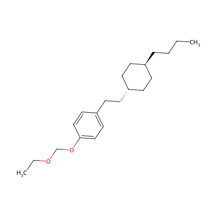 CCCC[C@H]1CC[C@H](CCc2ccc(OCOCC)cc2)CC1